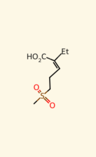 CCC(=CCCS(C)(=O)=O)C(=O)O